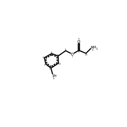 CC(C)c1cccc(COC(=O)CN)c1